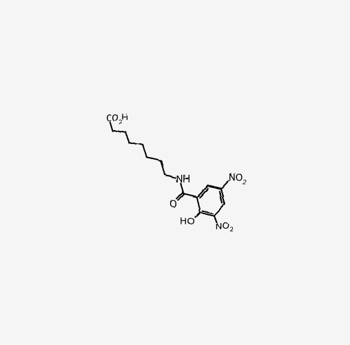 O=C(O)CCCCCCCNC(=O)c1cc([N+](=O)[O-])cc([N+](=O)[O-])c1O